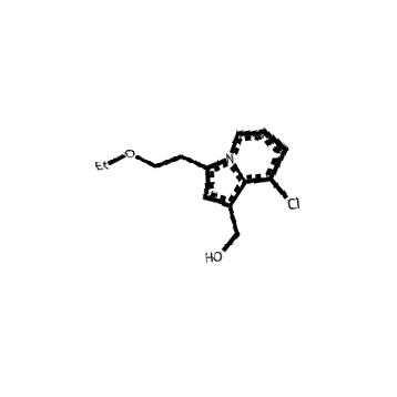 CCOCCc1cc(CO)c2c(Cl)cccn12